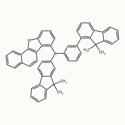 CC1(C)c2ccccc2-c2ccc(N(c3cccc(-c4cccc5c4C(C)(C)c4ccccc4-5)c3)c3cccc4oc5c6ccccc6ccc5c34)cc21